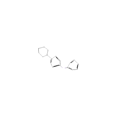 c1ccc([I+]c2ccc(C3CCCCC3)cc2)cc1